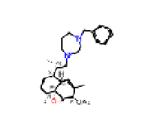 CC(=O)O[C@@H]1[C][C@@]2(O)[C@H](C)CC[C@@H]([C@H](C)CN3CCCN(Cc4ccccc4)CC3)[C@H]2C=C1C